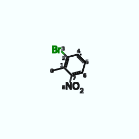 Cc1c(Br)[c]ccc1[N+](=O)[O-]